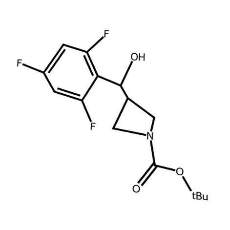 CC(C)(C)OC(=O)N1CC(C(O)c2c(F)cc(F)cc2F)C1